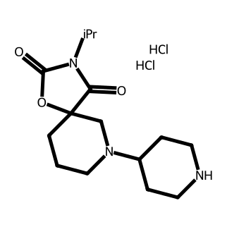 CC(C)N1C(=O)OC2(CCCN(C3CCNCC3)C2)C1=O.Cl.Cl